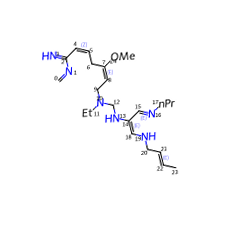 C=NC(=N)/C=C\C/C(=C\CN(CC)CNC(/C=N/CCC)=C/NC/C=C/C)OC